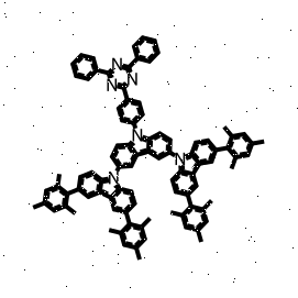 Cc1cc(C)c(-c2ccc3c(c2)c2cc(-c4c(C)cc(C)cc4C)ccc2n3-c2ccc3c(c2)c2cc(-n4c5ccc(-c6c(C)cc(C)cc6C)cc5c5cc(-c6c(C)cc(C)cc6C)ccc54)ccc2n3-c2ccc(-c3nc(-c4ccccc4)nc(-c4ccccc4)n3)cc2)c(C)c1